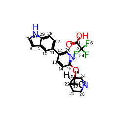 O=C(O)C(F)(F)F.c1cc2cc(-c3ccc(O[C@H]4CN5CCC4CC5)nc3)ccc2[nH]1